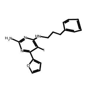 Nc1nc(NCCCc2ccccc2)c(I)c(-c2ccco2)n1